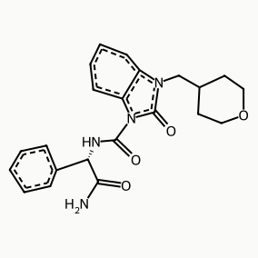 NC(=O)[C@@H](NC(=O)n1c(=O)n(CC2CCOCC2)c2ccccc21)c1ccccc1